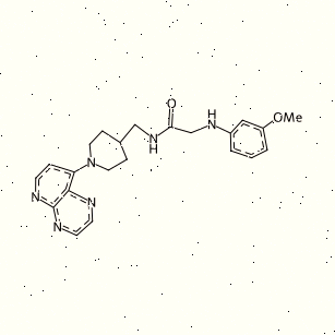 COc1cccc(NCC(=O)NCC2CCN(c3ccnc4nccnc34)CC2)c1